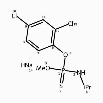 COP(=S)(NC(C)C)Oc1ccc(Cl)cc1Cl.[NaH]